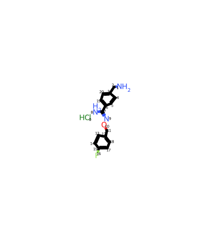 Cl.NCc1ccc(C(N)=NOCc2ccc(F)cc2)cc1